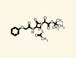 CC(=O)S[C@@H]1C(NC(=O)COc2ccccc2)C(=O)N1C(Cl)C(=O)OC(C)(C)C